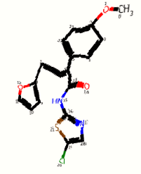 COc1ccc(C(=Cc2ccco2)C(=O)Nc2ncc(Cl)s2)cc1